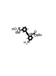 CC(C)(C)OC(=O)Nc1ccc(N)cc1C#Cc1cccc(N(C(=O)O)C(C)(C)C)c1